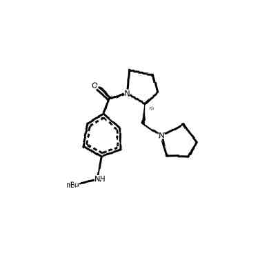 CCCCNc1ccc(C(=O)N2CCC[C@H]2CN2CCCC2)cc1